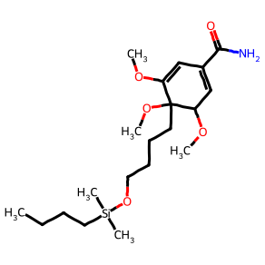 CCCC[Si](C)(C)OCCCCC1(OC)C(OC)=CC(C(N)=O)=CC1OC